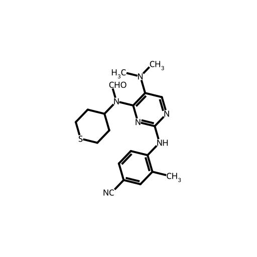 Cc1cc(C#N)ccc1Nc1ncc(N(C)C)c(N(C=O)C2CCSCC2)n1